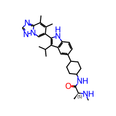 CN[C@@H](C)C(=O)NC1CCC(c2ccc3[nH]c(-c4cn5ncnc5c(C)c4C)c(C(C)C)c3c2)CC1